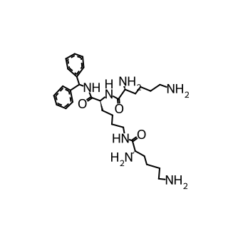 NCCCC[C@H](N)C(=O)NCCCC[C@H](NC(=O)[C@@H](N)CCCCN)C(=O)NC(c1ccccc1)c1ccccc1